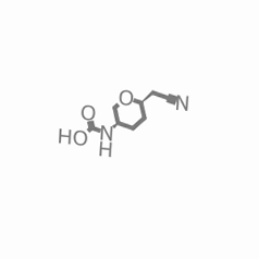 N#CC[C@H]1CC[C@@H](NC(=O)O)CO1